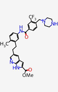 COC(=O)c1cc2cc(CCc3cc(NC(=O)c4ccc(CN5CCNCC5)c(C(F)(F)F)c4)ccc3C)cnc2[nH]1